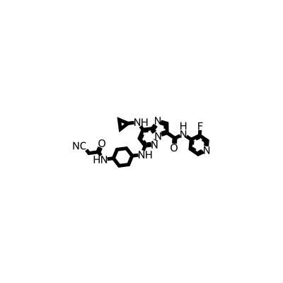 N#CCC(=O)NC1CCC(Nc2cc(NC3CC3)c3ncc(C(=O)Nc4ccncc4F)n3n2)CC1